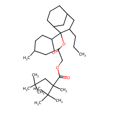 CCCC1CC2CCCC(C2)C1(OC(=O)COC(=O)C(C)(CC(C)(C)C)C(C)(C)C)C1CCC(C)CC1